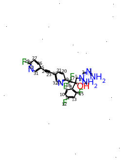 N/N=C\N(N)CC(O)(c1ccc(F)cc1F)C(F)(F)c1ccc(C#Cc2ccc(F)nc2)cn1